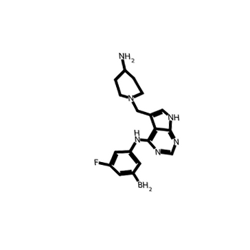 Bc1cc(F)cc(Nc2ncnc3[nH]cc(CN4CCC(N)CC4)c23)c1